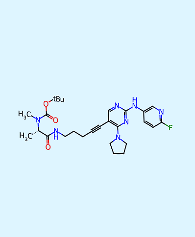 C[C@@H](C(=O)NCCCC#Cc1cnc(Nc2ccc(F)nc2)nc1N1CCCC1)N(C)C(=O)OC(C)(C)C